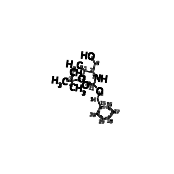 CC(OC(C)(C)C)C(CO)NC(=O)OCc1ccccc1